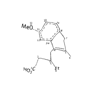 CCC(CC(=O)O)C1=C(C)Cc2ccc(OC)cc21